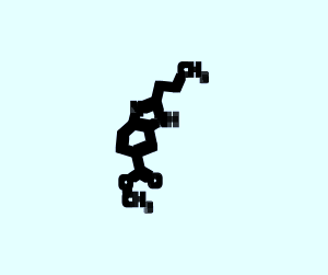 CCCc1nc2ccc(C(=O)OC)cc2[nH]1